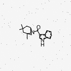 CC1(C)CC2CC(C)(CN2C(=O)c2c[nH]c3ccccc23)C1